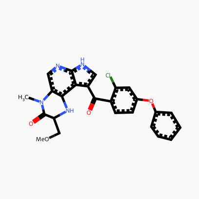 COCC1Nc2c(cnc3[nH]cc(C(=O)c4ccc(Oc5ccccc5)cc4Cl)c23)N(C)C1=O